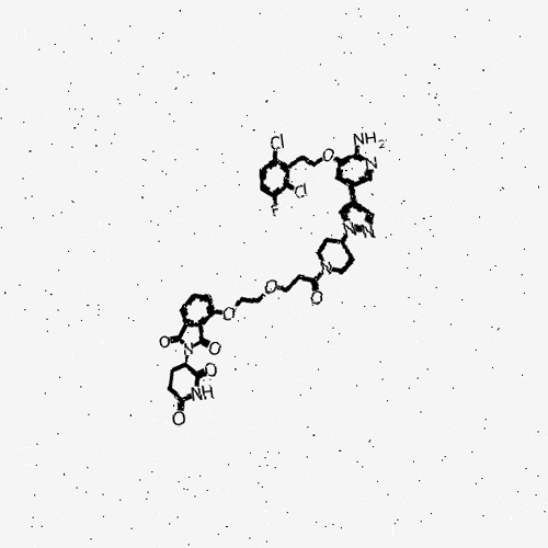 Nc1ncc(-c2cnn(C3CCN(C(=O)CCOCCOc4cccc5c4C(=O)N([C@@H]4CCC(=O)NC4=O)C5=O)CC3)c2)cc1OCCc1c(Cl)ccc(F)c1Cl